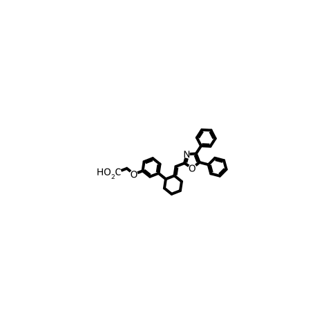 O=C(O)COc1cccc(C2CCCCC2=Cc2nc(-c3ccccc3)c(-c3ccccc3)o2)c1